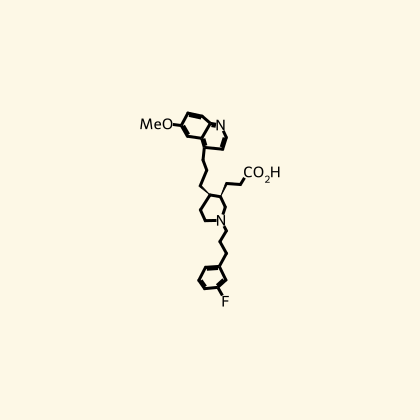 COc1ccc2nccc(CCC[C@@H]3CCN(CCCc4cccc(F)c4)C[C@@H]3CCC(=O)O)c2c1